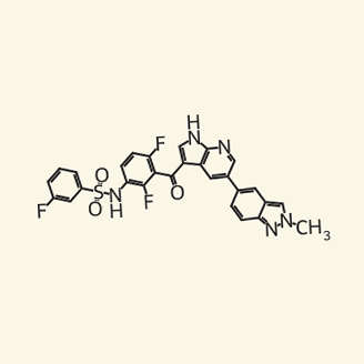 Cn1cc2cc(-c3cnc4[nH]cc(C(=O)c5c(F)ccc(NS(=O)(=O)c6cccc(F)c6)c5F)c4c3)ccc2n1